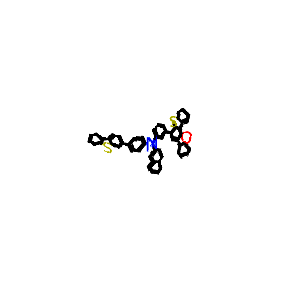 c1cc(-c2cc3c4ccccc4oc3c3c2sc2ccccc23)cc(N(c2ccc(-c3ccc4c(c3)sc3ccccc34)cc2)c2ccc3ccccc3c2)c1